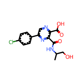 CC(CO)NC(=O)c1nc(-c2ccc(Cl)cc2)cnc1C(=O)O